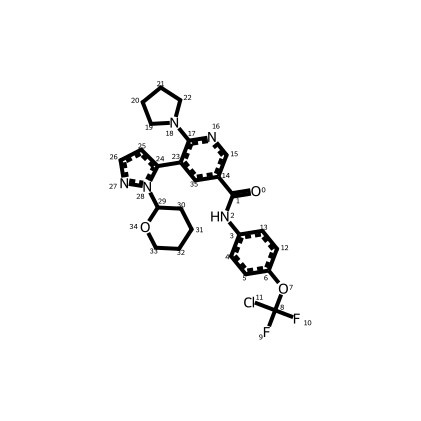 O=C(Nc1ccc(OC(F)(F)Cl)cc1)c1cnc(N2CCCC2)c(-c2ccnn2C2CCCCO2)c1